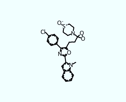 Cn1c(-c2nc(-c3ccc(Cl)cc3)c(CCC3(N4CC[S+]([O-])CC4)OO3)o2)cc2ccccc21